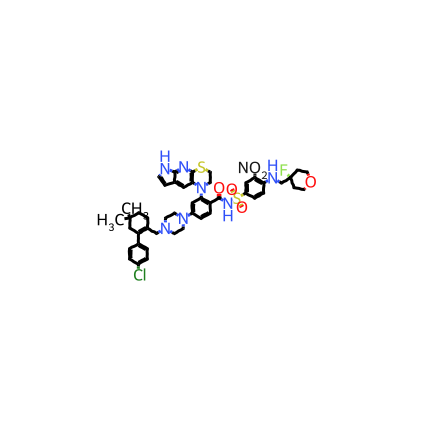 CC1(C)CCC(CN2CCN(c3ccc(C(=O)NS(=O)(=O)c4ccc(NCC5(F)CCOCC5)c([N+](=O)[O-])c4)c(N4CCSc5nc6[nH]ccc6cc54)c3)CC2)=C(c2ccc(Cl)cc2)C1